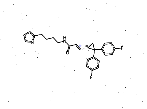 O=C(/C=C/[C@@H]1CC1(c1ccc(F)cc1)c1ccc(F)cc1)NCCCCc1nccs1